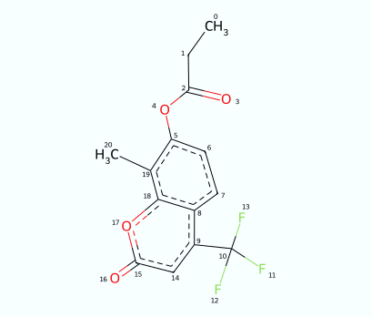 CCC(=O)Oc1ccc2c(C(F)(F)F)cc(=O)oc2c1C